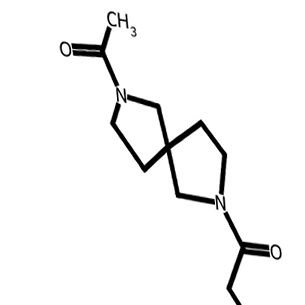 CCC(=O)N1CCC2(CCN(C(C)=O)C2)C1